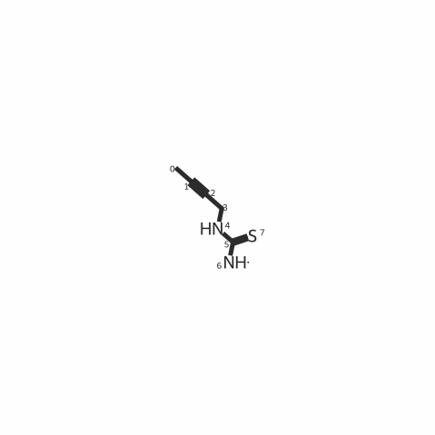 CC#CCNC([NH])=S